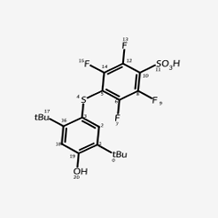 CC(C)(C)c1cc(Sc2c(F)c(F)c(S(=O)(=O)O)c(F)c2F)c(C(C)(C)C)cc1O